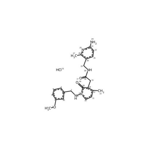 COc1cccc(CNn2ccc(C)c(CC(=O)NCc3ccc(N)nc3C)c2=O)c1.Cl